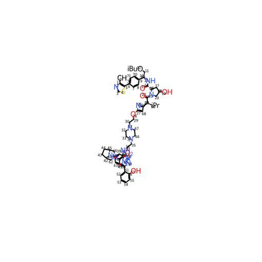 Cc1ncsc1-c1ccc([C@@H](COCC(C)C)NC(=O)[C@@H]2C[C@@H](O)CN2C(=O)[C@H](C2=NC(OCCN3CCN(CCOc4cc(N5C6CCC5CN(c5cc(-c7ccccc7O)nnc5N)C6)ccn4)CC3)=C2)C(C)C)cc1